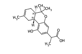 CC1=CC[C@@H]2[C@@H](C1)c1c(O)cc(C(C)C(=O)O)cc1OC2(C)C